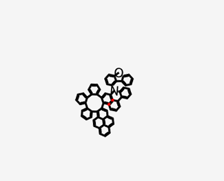 c1ccc(-c2ccccc2N(c2ccc3c(c2)c2ccccc2c2ccccc2c2ccccc2c2c3cc3ccc4cccc5ccc2c3c45)c2cccc3oc4ccccc4c23)cc1